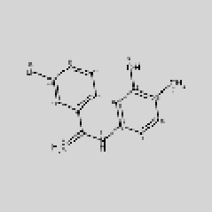 C=C(Nc1ccc(C)c(O)c1)c1cccc(Cl)c1